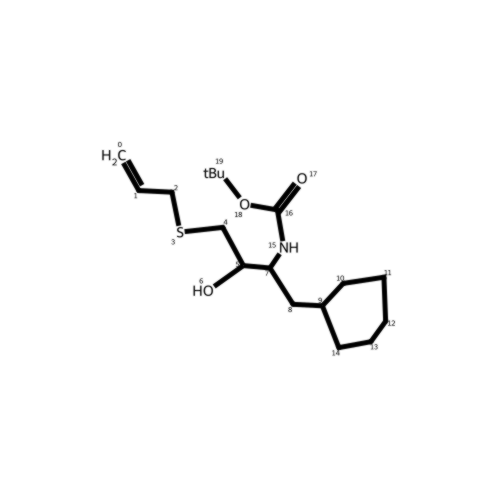 C=CCSCC(O)C(CC1CCCCC1)NC(=O)OC(C)(C)C